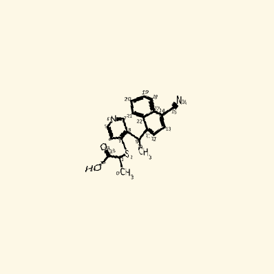 CC(Sc1ccncc1C(C)c1ccc(C#N)c2ccccc12)C(=O)O